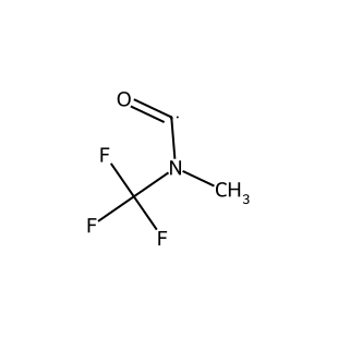 CN([C]=O)C(F)(F)F